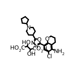 Nc1c(Cl)cc(-c2nnc(C3CCN(C4CCCC4)CC3)o2)c2c1CCCO2.O=C(O)C(O)C(O)C(=O)O